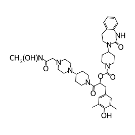 Cc1cc(CC(OC(=O)N2CCC(N3CCc4ccccc4NC3=O)CC2)C(=O)N2CCC(N3CCN(CC(=O)N(C)O)CC3)CC2)cc(C)c1O